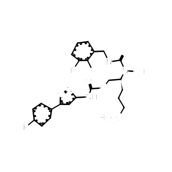 CN(C(=O)NCc1cccc(F)c1F)[C@@H](CCCC(=O)O)COC(=O)Nc1cc(-c2ccc(F)cc2)on1